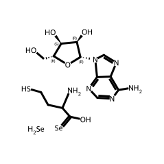 NC(CCS)C(O)=[Se].Nc1ncnc2c1ncn2[C@@H]1O[C@H](CO)[C@@H](O)[C@H]1O.[SeH2]